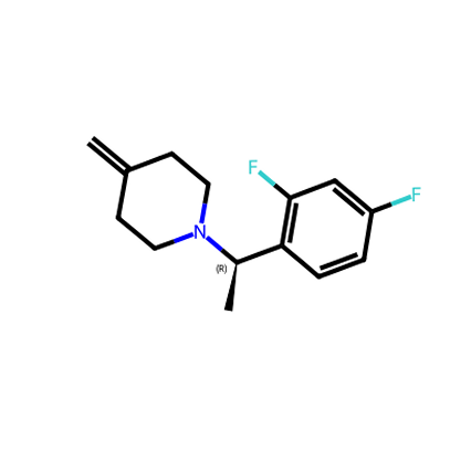 C=C1CCN([C@H](C)c2ccc(F)cc2F)CC1